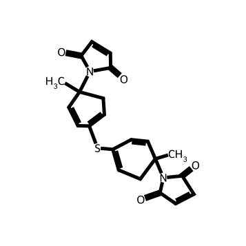 CC1(N2C(=O)C=CC2=O)C=CC(SC2=CCC(C)(N3C(=O)C=CC3=O)C=C2)=CC1